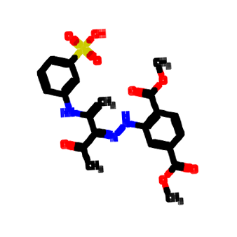 C=C(Nc1cccc(S(=O)(=O)O)c1)/C(=N\Nc1cc(C(=O)OC)ccc1C(=O)OC)C(C)=O